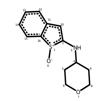 [O-][s+]1c(NC2CCOCC2)cc2ccccc21